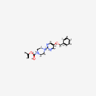 C=C(C)OC(=O)N1CCN(c2ncc(OCc3ccccc3)cn2)CC1